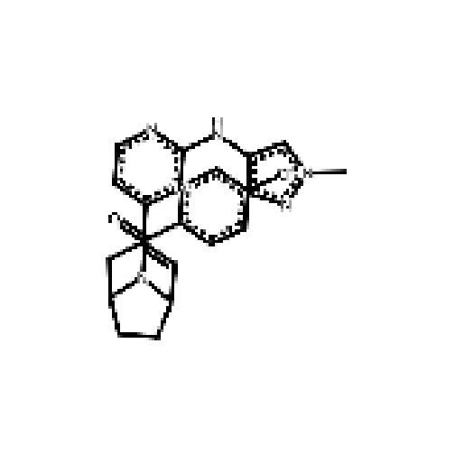 Cn1cc(Nc2nccc(C3=CC4CCC(C3)N4C(=O)c3ccc(C(F)(F)F)cn3)n2)cn1